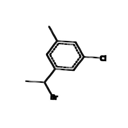 Cc1cc(Cl)cc(C(C)Br)c1